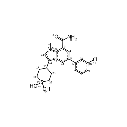 NC(=O)c1cc(-c2cccc(Cl)c2)cc2c(C3CCS(O)(O)CC3)c[nH]c12